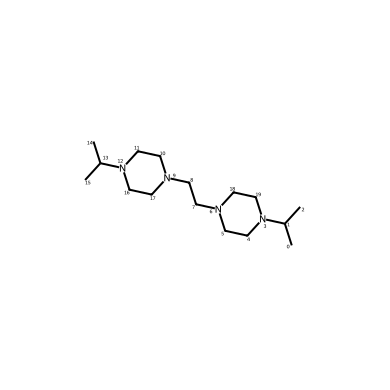 CC(C)N1CCN(CCN2CCN(C(C)C)CC2)CC1